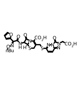 CCCCON=C(C(=O)NC1C(=O)N2C(C(=O)O)=C(CSc3ccc4nn(CC(=O)O)c(=O)n4n3)CS[C@@H]12)c1ccco1